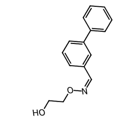 OCCO/N=C\c1cccc(-c2ccccc2)c1